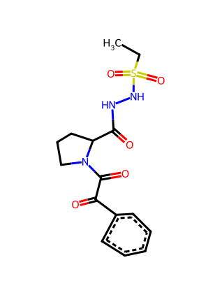 CCS(=O)(=O)NNC(=O)C1CCCN1C(=O)C(=O)c1ccccc1